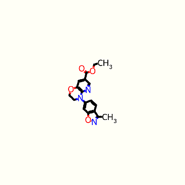 CCOC(=O)c1cnc2c(c1)OCCN2c1ccc2c(C)noc2c1